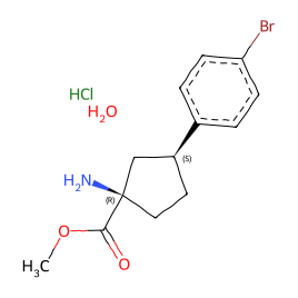 COC(=O)[C@@]1(N)CC[C@H](c2ccc(Br)cc2)C1.Cl.O